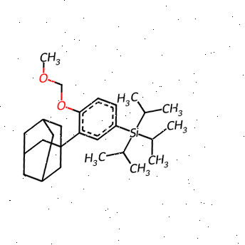 COCOc1ccc([Si](C(C)C)(C(C)C)C(C)C)cc1C12CC3CC(CC(C3)C1)C2